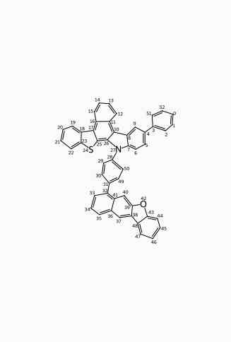 c1ccc(-c2ccc3c(c2)c2c4ccccc4c4c5ccccc5sc4c2n3-c2ccc(-c3cccc4cc5c(cc34)oc3ccccc35)cc2)cc1